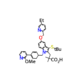 CCc1ccc(COc2ccc3c(c2)c(SC(C)(C)C)c(CC(C)(C)C(=O)O)n3CC2C=CC(c3cccnc3OC)=CC2)nc1